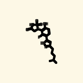 CC(C)CCCc1cc(-c2ccc(O)c(N3CC(=O)NS3(=O)=O)c2F)[nH]n1